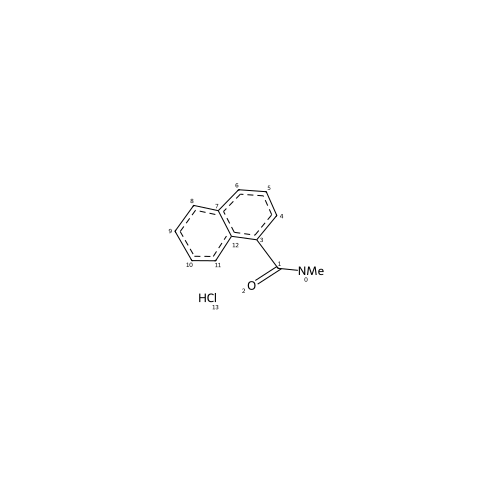 CNC(=O)c1cccc2ccccc12.Cl